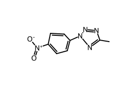 Cc1nnn(-c2ccc([N+](=O)[O-])cc2)n1